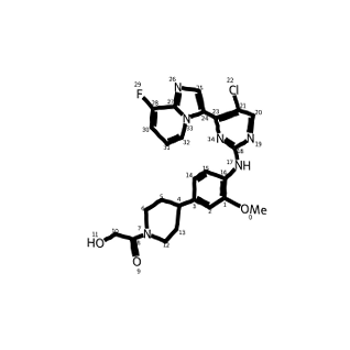 COc1cc(C2CCN(C(=O)CO)CC2)ccc1Nc1ncc(Cl)c(-c2cnc3c(F)cccn23)n1